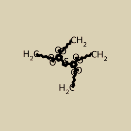 C=CCCCCOC(=O)c1cc(C(=O)OCCCCC=C)cc(-c2ccc(-c3cc(C(=O)OCCCCC=C)cc(C(=O)OCCCCC=C)c3)s2)c1